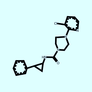 O=C(NC1CC1c1ccccc1)N1CCN(c2ncccc2Cl)CC1